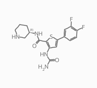 NC(=O)Nc1cc(-c2ccc(F)c(F)c2)sc1C(=O)N[C@@H]1CCCNC1